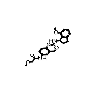 COCC(=O)Nc1ccc2c(c1)COC(NC1CCc3cccc(OC)c31)=N2